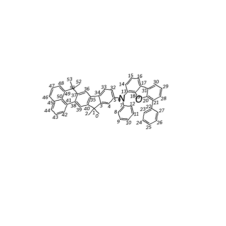 CC1(C)c2cc(N(c3ccccc3)c3cccc4c3oc3c(-c5ccccc5)cccc34)ccc2-c2cc3c(cc21)-c1cccc2cccc(c12)C3(C)C